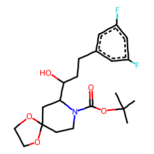 CC(C)(C)OC(=O)N1CCC2(CC1C(O)CCc1cc(F)cc(F)c1)OCCO2